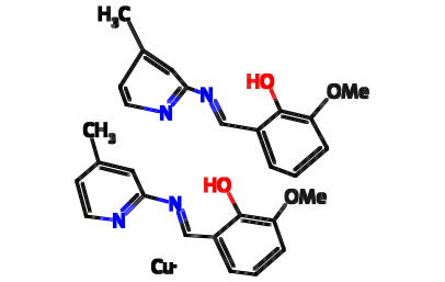 COc1cccc(C=Nc2cc(C)ccn2)c1O.COc1cccc(C=Nc2cc(C)ccn2)c1O.[Cu]